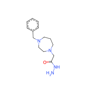 NNC(=O)CN1CCCN(Cc2ccccc2)CC1